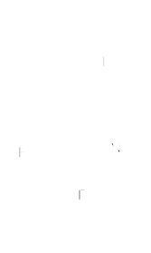 Fc1[c]nc(F)c(F)c1